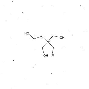 O[CH]C[N+](CO)(CO)CO